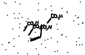 C=CC(=O)O.CC(=O)O.CC(=O)O.CC(=O)O